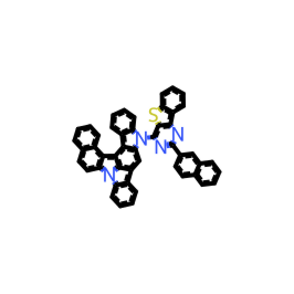 c1ccc2cc(-c3nc(-n4c5ccccc5c5c6c7c8ccccc8ccc7n7c8ccccc8c(cc54)c67)c4sc5ccccc5c4n3)ccc2c1